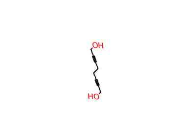 OCC#CCCC#CCO